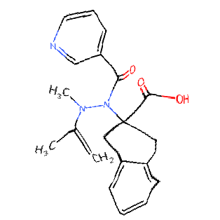 C=C(C)N(C)N(C(=O)c1cccnc1)C1(C(=O)O)Cc2ccccc2C1